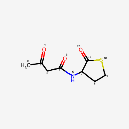 CC(=O)CC(=O)NC1CCSC1=O